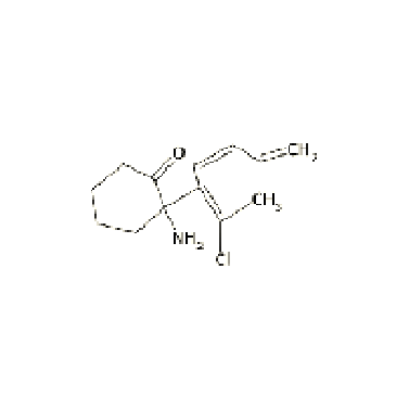 C=C/C=C\C(=C(/C)Cl)C1(N)CCCCC1=O